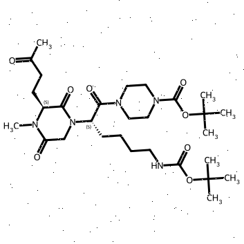 CC(=O)CC[C@H]1C(=O)N([C@@H](CCCCNC(=O)OC(C)(C)C)C(=O)N2CCN(C(=O)OC(C)(C)C)CC2)CC(=O)N1C